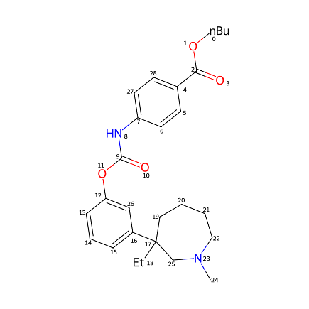 CCCCOC(=O)c1ccc(NC(=O)Oc2cccc(C3(CC)CCCCN(C)C3)c2)cc1